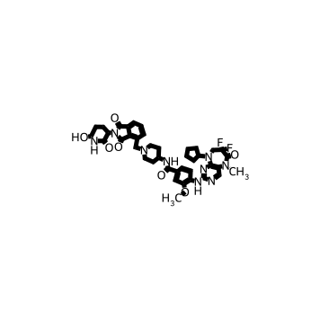 COc1cc(C(=O)NC2CCN(Cc3cccc4c3C(=O)N(C3CCC(O)NC3=O)C4=O)CC2)ccc1Nc1ncc2c(n1)N(C1CCCC1)CC(F)(F)C(=O)N2C